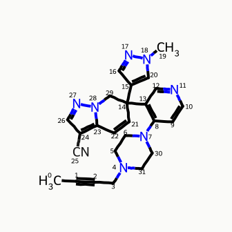 CC#CCN1CCN(c2ccncc2C2(c3cnn(C)c3)C=Cc3c(C#N)cnn3C2)CC1